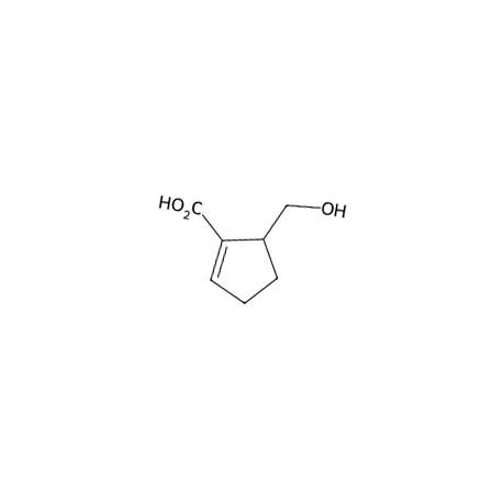 O=C(O)C1=CCCC1CO